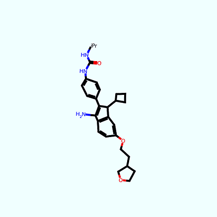 CC(C)NC(=O)Nc1ccc(C2=C(N)c3ccc(OCCC4CCOC4)cc3C2C2CCC2)cc1